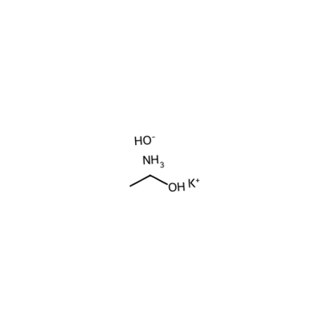 CCO.N.[K+].[OH-]